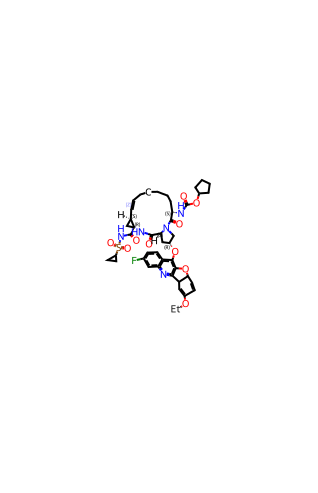 CCOC1=CC2c3nc4cc(F)ccc4c(O[C@@H]4C[C@H]5C(=O)N[C@]6(C(=O)NS(=O)(=O)C7CC7)C[C@H]6/C=C\CCCCC[C@H](NC(=O)OC6CCCC6)C(=O)N5C4)c3OC2C=C1